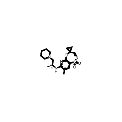 Cc1cc2c(nc1N[C@@H](C)CN1CCCCC1)OC1(C=NS2(=O)=O)CC1